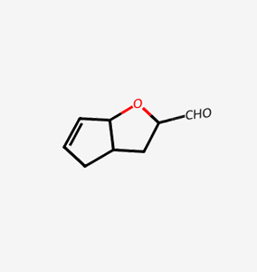 O=CC1CC2CC=CC2O1